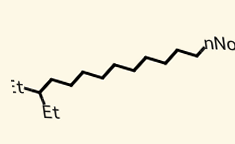 CCCCCCCCCCCCCCCCCCCC(CC)CC